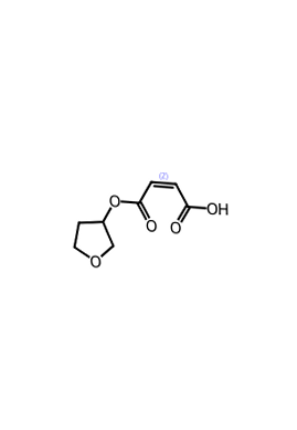 O=C(O)/C=C\C(=O)OC1CCOC1